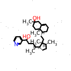 C[C@H](CCC(O)c1cccnc1)[C@H]1CC[C@@H](C)[C@]1(C)CC[C@H]1CCC=C2C[C@@](C)(O)CC[C@@]21C